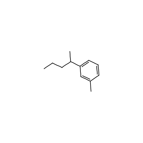 CCCC(C)c1cccc(C)c1